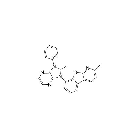 Cc1ccc2c(n1)oc1c(N3c4nccnc4N(c4ccccc4)C3C)cccc12